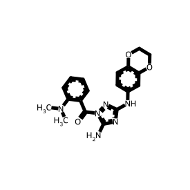 CN(C)c1ccccc1C(=O)n1nc(Nc2ccc3c(c2)OCCO3)nc1N